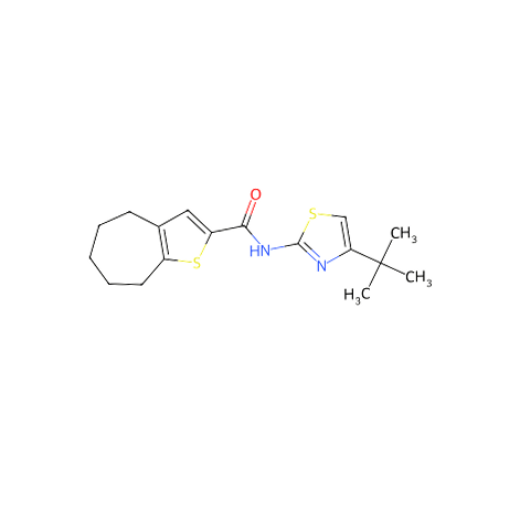 CC(C)(C)c1csc(NC(=O)c2cc3c(s2)CCCCC3)n1